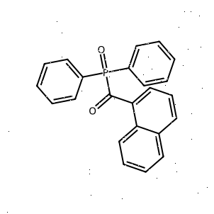 O=C(c1cccc2ccccc12)P(=O)(c1ccccc1)c1ccccc1